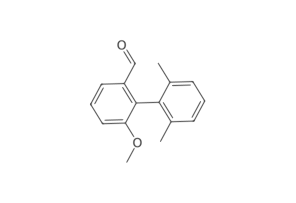 COc1cccc(C=O)c1-c1c(C)cccc1C